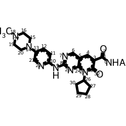 CC(=O)NC(=O)c1cc2cnc(Nc3ccc(N4CCN(C)CC4)cn3)nc2n(C2CCCC2)c1=O